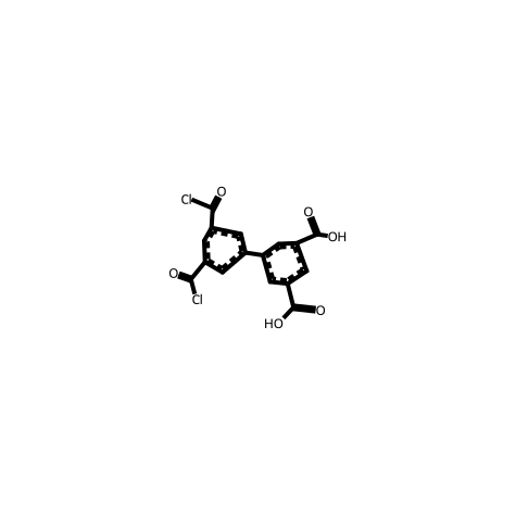 O=C(O)c1cc(C(=O)O)cc(-c2cc(C(=O)Cl)cc(C(=O)Cl)c2)c1